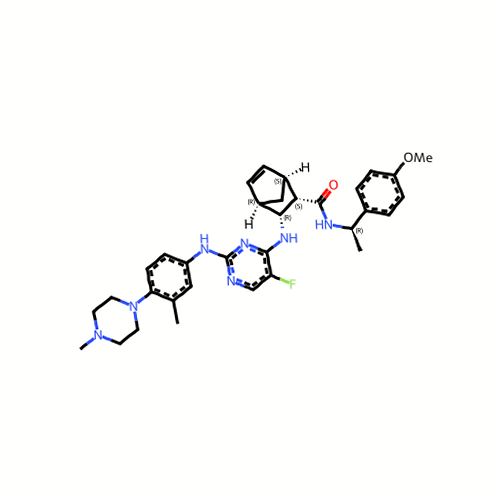 COc1ccc([C@@H](C)NC(=O)[C@@H]2[C@H](Nc3nc(Nc4ccc(N5CCN(C)CC5)c(C)c4)ncc3F)[C@H]3C=C[C@@H]2C3)cc1